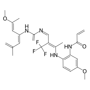 C=CC(=O)Nc1cc(OC)ccc1N/C(C)=C(/C=N\C(=C)NC(=C/C(=C)C)/C=C(\C)OC)C(F)(F)F